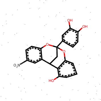 O=[N+]([O-])c1ccc2c(c1)C1CC(c3ccc(O)c(O)c3)(O2)Oc2cccc(O)c21